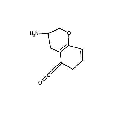 NC1COC2=C(C1)C(=C=O)CC=C2